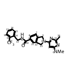 CNc1cc(N2Cc3ccc(C(=O)NCc4ccccc4C(F)(F)F)cc3C2)nc(C)n1